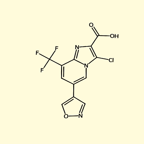 O=C(O)c1nc2c(C(F)(F)F)cc(-c3cnoc3)cn2c1Cl